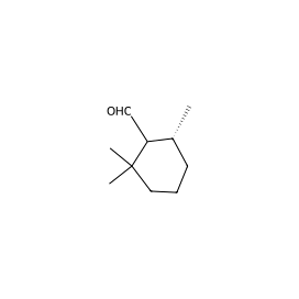 C[C@@H]1CCCC(C)(C)C1C=O